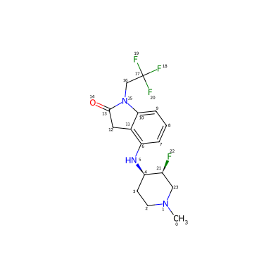 CN1CC[C@@H](Nc2cccc3c2CC(=O)N3CC(F)(F)F)[C@@H](F)C1